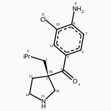 CC(C)C[C@]1(C(=O)c2ccc(N)c(Cl)c2)CCNC1